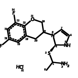 CC(N)S[C@@H]1NC=CN1C1COc2c(F)cc(F)cc2C1.Cl